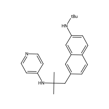 CC(C)(C)Nc1ccc2ccc(CC(C)(C)Nc3ccncc3)cc2c1